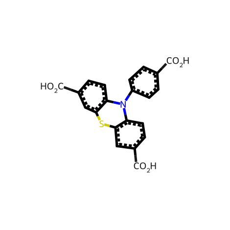 O=C(O)c1ccc(N2c3ccc(C(=O)O)cc3Sc3cc(C(=O)O)ccc32)cc1